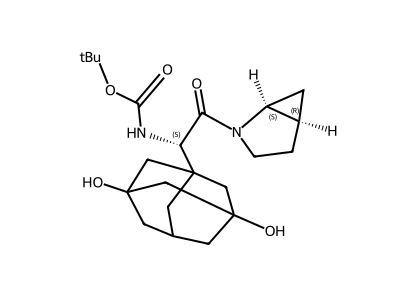 CC(C)(C)OC(=O)N[C@H](C(=O)N1CC[C@@H]2C[C@@H]21)C12CC3CC(O)(CC(O)(C3)C1)C2